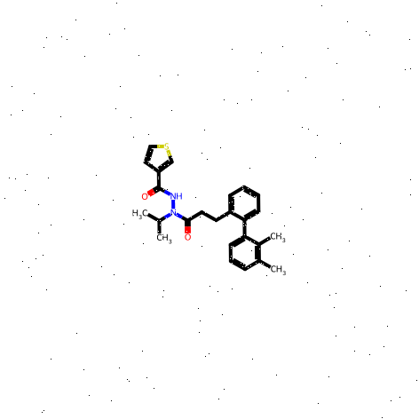 Cc1cccc(-c2ccccc2CCC(=O)N(NC(=O)c2ccsc2)C(C)C)c1C